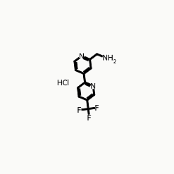 Cl.NCc1cc(-c2ccc(C(F)(F)F)cn2)ccn1